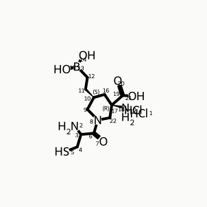 Cl.Cl.NC(CS)C(=O)N1C[C@@H](CCB(O)O)C[C@](N)(C(=O)O)C1